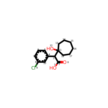 O=C(O)C(c1cccc(Cl)c1)C1(O)CCCCCC1